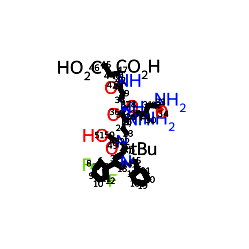 CC(C)(C)[C@H](c1cc(-c2cc(F)ccc2F)cn1Cc1ccccc1)N(CC[C@H](NC(=O)[C@@H](N)CC(N)=O)C(=O)NCCC(=O)N[C@H](CCC(=O)O)C(=O)O)C(=O)CO